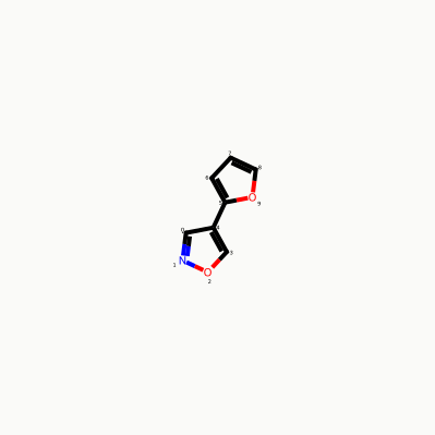 [c]1nocc1-c1ccco1